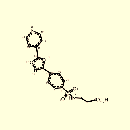 O=C(O)CCNS(=O)(=O)c1ccc(-c2noc(-c3ccncc3)n2)cc1